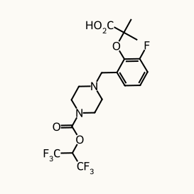 CC(C)(Oc1c(F)cccc1CN1CCN(C(=O)OC(C(F)(F)F)C(F)(F)F)CC1)C(=O)O